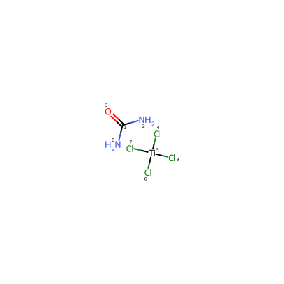 NC(N)=O.[Cl][Ti]([Cl])([Cl])[Cl]